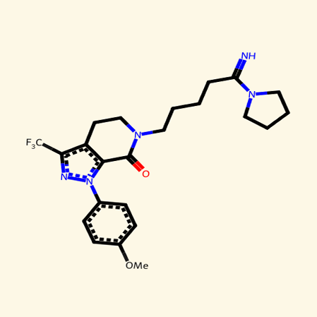 COc1ccc(-n2nc(C(F)(F)F)c3c2C(=O)N(CCCCC(=N)N2CCCC2)CC3)cc1